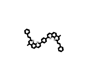 Cc1cc(/C=C/c2ccccc2)nc2c1ccc1ccc(-c3ccc(-c4ccc5ccc6c(C)cc(/C=C/c7ccccc7)nc6c5n4)cc3)nc12